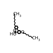 CCCCCCCCOc1ccc(C(=O)O)c(-c2ccc(CCCCCCCC)cc2)c1